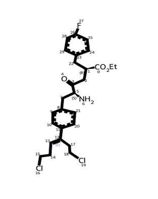 CCOC(=O)[C@@H](CC(=O)[C@@H](N)Cc1ccc(/C(=C/CCCl)CCCl)cc1)Cc1ccc(F)cc1